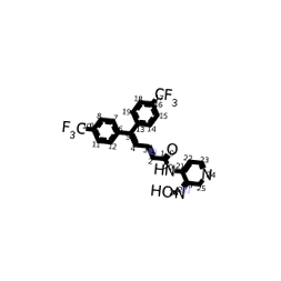 O=C(/C=C/C=C(c1ccc(C(F)(F)F)cc1)c1ccc(C(F)(F)F)cc1)NC1=CC=NC/C1=N/O